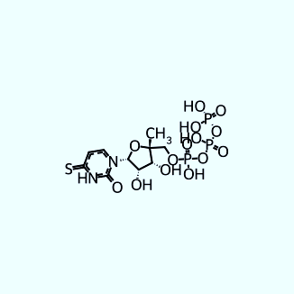 C[C@]1(COP(=O)(O)OP(=O)(O)OP(=O)(O)O)O[C@@H](n2ccc(=S)[nH]c2=O)[C@@H](O)[C@H]1O